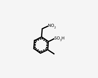 Cc1cccc(C[N+](=O)[O-])c1S(=O)(=O)O